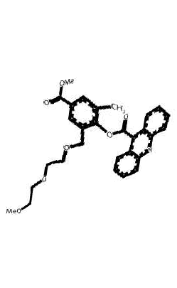 COCCOCCOCc1cc(C(=O)OC)cc(C)c1OC(=O)c1c2ccccc2nc2ccccc12